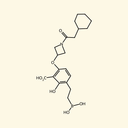 O=C(O)c1c(OC2CN(C(=O)CC3CCCCC3)C2)ccc(CCB(O)O)c1O